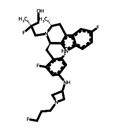 C[C@@H]1Cc2c([nH]c3ccc(F)cc23)[C@@H](Cc2c(F)cc(NC3CN(CCCF)C3)cc2F)N1C[C@@](C)(F)CO